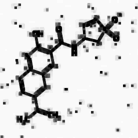 C=C(C)c1ccc2nc(O)c(C(=O)NC3C=CS(=O)(=O)C3)cc2c1